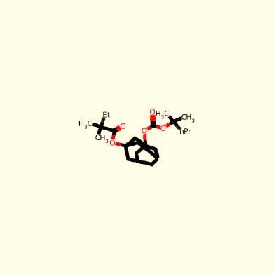 CCCC(C)(C)OC(=O)OC12CC3CC(C1)CC(OC(=O)C(C)(C)CC)(C3)C2